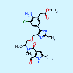 COC(=O)Cc1cc(-c2[nH]c(C)nc2COCC(C)N(C)C(=O)c2cc(C)[nH]c2C=O)cc(Cl)c1N